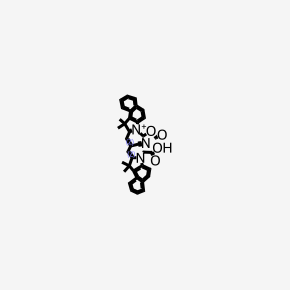 CC1(C)C(/C=C(C#N)/C=C2\N(CC(=O)O)c3ccc4ccccc4c3C2(C)C)=[N+](COC=O)c2ccc3ccccc3c21